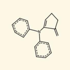 C=C1CCC=C1N(c1ccccc1)c1ccccc1